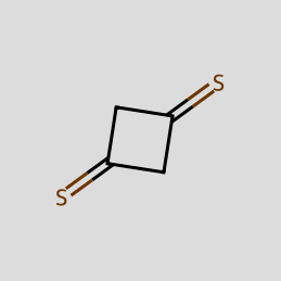 S=C1CC(=S)C1